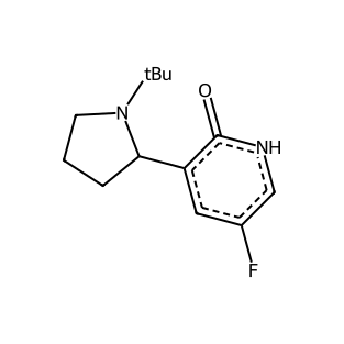 CC(C)(C)N1CCCC1c1cc(F)c[nH]c1=O